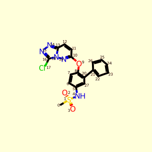 CS(=O)(=O)Nc1ccc(Oc2ccc3nnc(Cl)n3n2)c(-c2ccccc2)c1